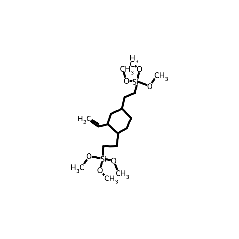 C=CC1CC(CC[Si](OC)(OC)OC)CCC1CC[Si](OC)(OC)OC